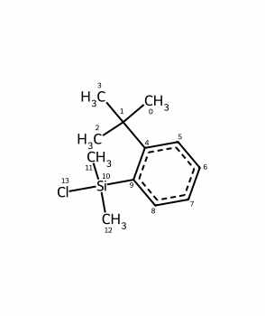 CC(C)(C)c1ccccc1[Si](C)(C)Cl